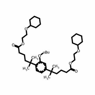 CCCCOc1cc(C(C)(C)CCCC(=O)OCCOC2CCCCC2)[c]cc1C(C)(C)CCCC(=O)OCCOC1CCCCC1